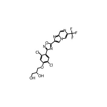 OC[C@H](O)COc1cc(Cl)c(-c2noc(-c3cn4cc(C(F)(F)F)ncc4n3)n2)cc1Cl